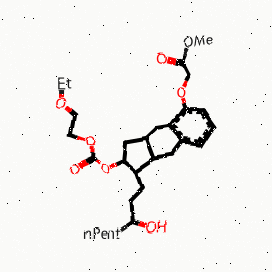 CCCCCC(O)CCC1C(OC(=O)OCCOCC)CC2Cc3c(cccc3OCC(=O)OC)CC21